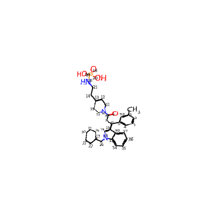 Cc1cccc(C(CC(=O)N2CCC(CCNP(=O)(O)O)CC2)c2cn(CC3CCCCC3)c3ccccc23)c1